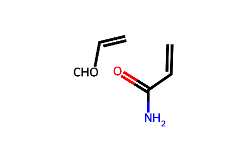 C=CC(N)=O.C=CC=O